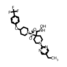 CCc1cnc(N2CCC(C(=O)NO)(S(=O)(=O)N3CCC(Oc4ccc(C(F)(F)F)cc4)CC3)CC2)nc1